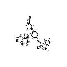 CC(O)(C#Cc1ccc(N2CCC(C#N)C2)c(Nc2ncnc3[nH]ccc23)c1)c1nccs1